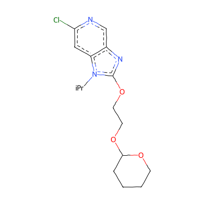 CC(C)n1c(OCCOC2CCCCO2)nc2cnc(Cl)cc21